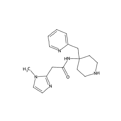 Cn1ccnc1CC(=O)NC1(Cc2ccccn2)CCNCC1